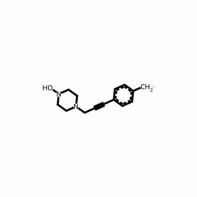 [CH2]c1ccc(C#CCN2CCN(O)CC2)cc1